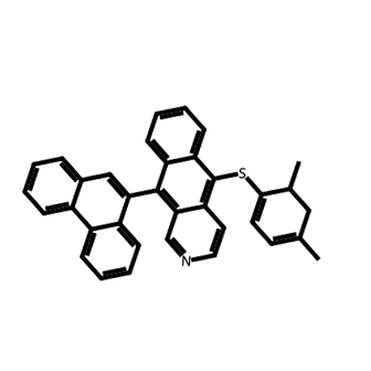 CC1=CC=C(Sc2c3ccccc3c(-c3cc4ccccc4c4ccccc34)c3cnccc23)C(C)C1